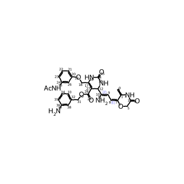 C=C1NC(=O)CO/C1=C/C=C(\N)C1NC(=O)NC(COc2cccc(NC(C)=O)c2)=C1C(=O)OCc1cccc(N)c1